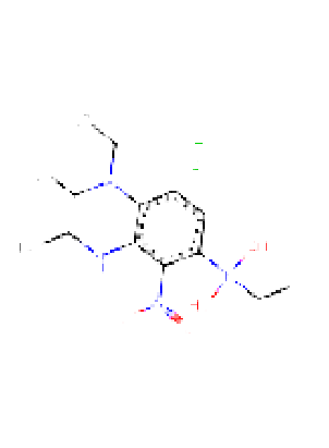 CCNc1c(N(CC)CC)ccc([N+](O)(O)CC)c1[N+](=O)[O-].Cl.Cl